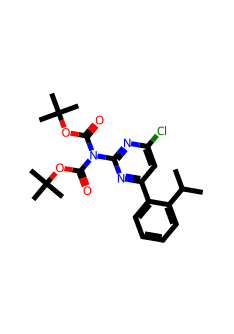 CC(C)c1ccccc1-c1cc(Cl)nc(N(C(=O)OC(C)(C)C)C(=O)OC(C)(C)C)n1